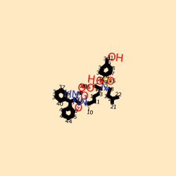 COC(=O)N[C@H](C(=O)N[C@@H](C)CCC[C@@H](CO)N(CCC(C)C)S(=O)(=O)c1ccc(CO)cc1)C(c1ccccc1)c1ccccc1